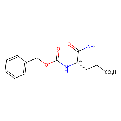 [NH]C(=O)[C@H](CCC(=O)O)NC(=O)OCc1ccccc1